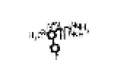 COc1cc(-c2ccc(F)cc2)cc2c(NC/C(N=N)=N/N)ncnc12